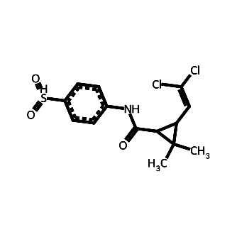 CC1(C)C(C=C(Cl)Cl)C1C(=O)Nc1ccc([SH](=O)=O)cc1